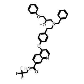 O=C(NCC(F)(F)F)c1ccc2c(Oc3ccc(CCN(Cc4ccccc4)CC(O)COc4ccccc4)cc3)ccnc2c1